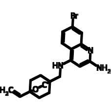 C=CC12CCC(CNc3cc(N)nc4cc(Br)ccc34)(CC1)CO2